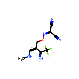 CN/C=C(/CON=C(C#N)C#N)C(=N)C(F)(F)F